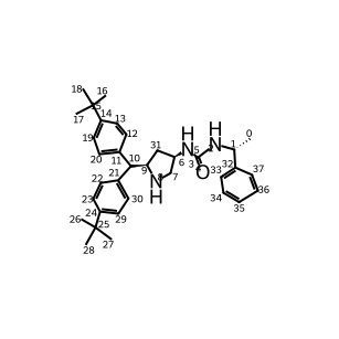 C[C@@H](NC(=O)N[C@H]1CN[C@@H](C(c2ccc(C(C)(C)C)cc2)c2ccc(C(C)(C)C)cc2)C1)c1ccccc1